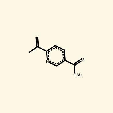 C=C(C)c1ccc(C(=O)OC)cn1